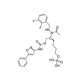 CC(=O)N(NCc1cccc(F)c1F)[C@@H](CCCCOP(=O)(O)O)COC(=O)Nc1cc(-c2ccccc2)on1